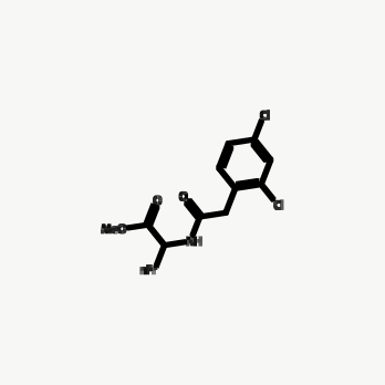 CCCC(NC(=O)Cc1ccc(Cl)cc1Cl)C(=O)OC